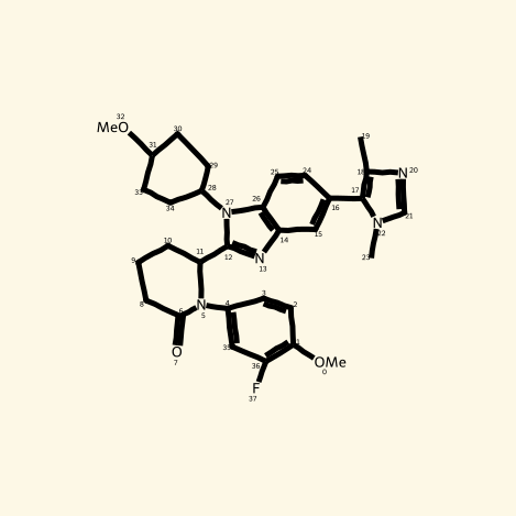 COc1ccc(N2C(=O)CCCC2c2nc3cc(-c4c(C)ncn4C)ccc3n2C2CCC(OC)CC2)cc1F